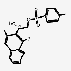 Cc1ccc(S(=O)(=O)OC[C@@H](O)c2c(C)cc3ccccc3c2Cl)cc1